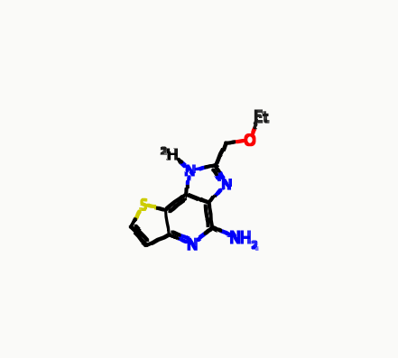 [2H]n1c(COCC)nc2c(N)nc3ccsc3c21